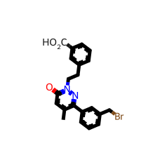 Cc1cc(=O)n(CCc2cccc(C(=O)O)c2)nc1-c1cccc(CBr)c1